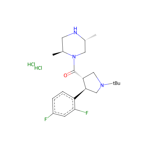 C[C@@H]1CN(C(=O)[C@@H]2CN(C(C)(C)C)C[C@H]2c2ccc(F)cc2F)[C@@H](C)CN1.Cl.Cl